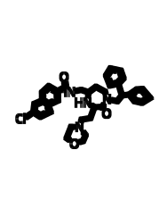 O=C(NCC1CCN(CC(c2ccccc2)c2ccccc2)C(=O)C(CCN2CCOCC2)N1)c1ccc2cc(Cl)ccc2c1